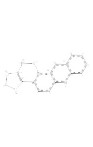 c1ccc2nc3ccc4c(c3cc2c1)SNC1=C4OCO1